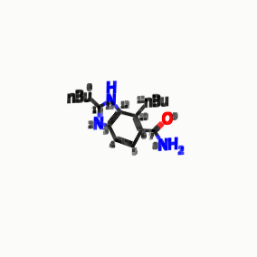 CCCCc1nc2ccc(C(N)=O)c(CCCC)c2[nH]1